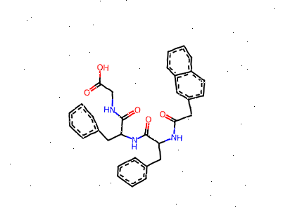 O=C(O)CNC(=O)C(Cc1ccccc1)NC(=O)C(Cc1ccccc1)NC(=O)Cc1ccc2ccccc2c1